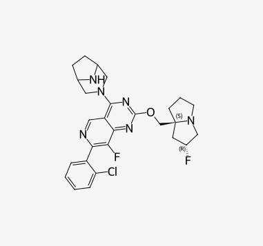 Fc1c(-c2ccccc2Cl)ncc2c(N3CC4CCC(C3)N4)nc(OC[C@@]34CCCN3C[C@H](F)C4)nc12